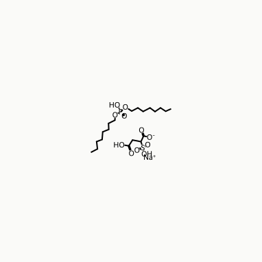 CCCCCCCCOP(=O)(O)OCCCCCCCC.O=C(O)CC(C(=O)[O-])S(=O)(=O)O.[Na+]